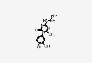 CCCNNc1nc(C)n(-c2ccc(O)c(O)c2)c(=O)n1